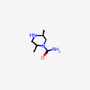 CC1CN(C(N)=O)C(C)CN1